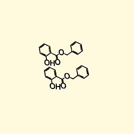 O=C(OCc1ccccc1)c1ccccc1O.O=C(OCc1ccccc1)c1ccccc1O